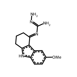 COc1ccc2[nH]c3c(c2c1)C(=NC(N)=NN)CCC3